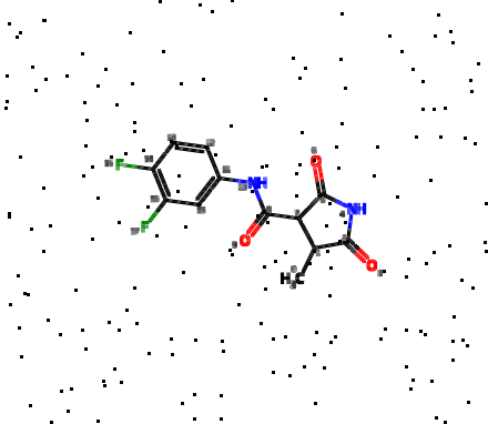 CC1C(=O)NC(=O)C1C(=O)Nc1ccc(F)c(F)c1